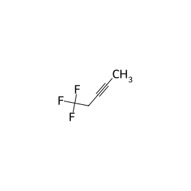 CC#CCC(F)(F)F